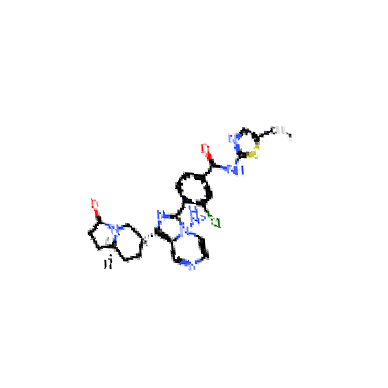 Cc1cnc(NC(=O)c2ccc(C3=NC([C@@H]4CC[C@H]5CCC(=O)N5C4)=C4C=NC=C[N+]34N)c(Cl)c2)s1